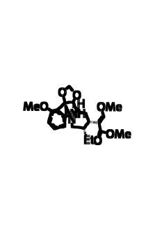 CC[C@@H]1CN2CC[C@@]34OCO[C@@]3(Nc3cccc(OC)c34)[C@@H]2C[C@@H]1/C(=C\OC)C(=O)OC